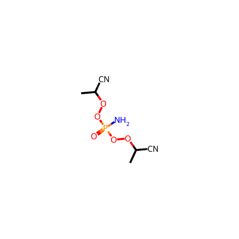 CC(C#N)OOP(N)(=O)OOC(C)C#N